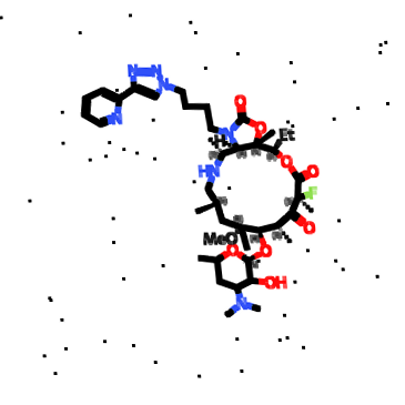 CC[C@H]1OC(=O)[C@@](C)(F)C(=O)[C@H](C)[C@@H](O[C@@H]2OC(C)CC(N(C)C)C2O)[C@](C)(OC)C[C@@H](C)CN[C@H](C)[C@H]2N(CCCCn3cc(-c4ccccn4)nn3)C(=O)O[C@]12C